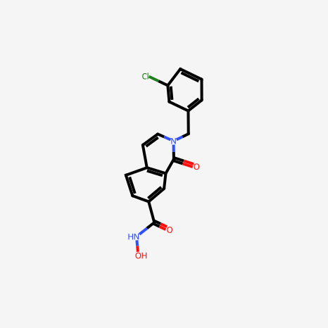 O=C(NO)c1ccc2ccn(Cc3cccc(Cl)c3)c(=O)c2c1